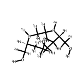 [2H]OC([2H])([2H])[C@@]([2H])(N([2H])C([2H])([2H])C([2H])([2H])N([2H])[C@]([2H])(C([2H])([2H])O[2H])C([2H])([2H])C([2H])([2H])[2H])C([2H])([2H])C([2H])([2H])[2H]